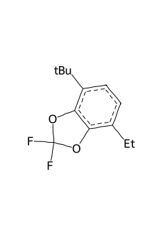 CCc1ccc(C(C)(C)C)c2c1OC(F)(F)O2